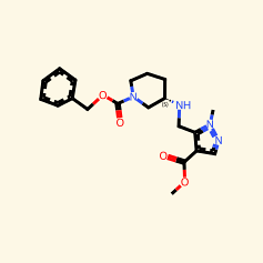 COC(=O)c1cnn(C)c1CN[C@H]1CCCN(C(=O)OCc2ccccc2)C1